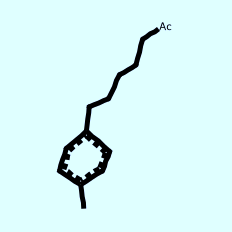 CC(=O)CCCCCc1ccc(C)cc1